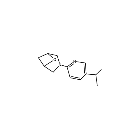 CC(C)c1ccc(N2CC3CC(C2)O3)nc1